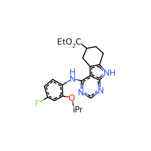 CCOC(=O)C1CCc2[nH]c3ncnc(Nc4ccc(F)cc4OC(C)C)c3c2C1